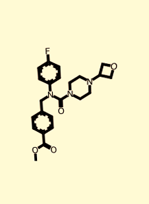 COC(=O)c1ccc(CN(C(=O)N2CCN(C3COC3)CC2)c2ccc(F)cc2)cc1